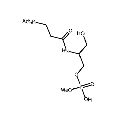 COP(=O)(O)OCC(CO)NC(=O)CCNC(C)=O